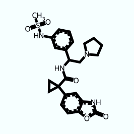 CS(=O)(=O)Nc1cccc(C(CN2CCCC2)NC(=O)C2(c3ccc4oc(=O)[nH]c4c3)CC2)c1